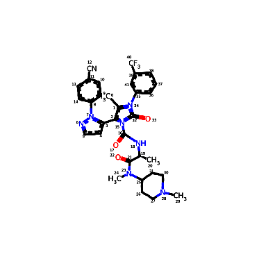 Cc1c(-c2ccnn2-c2ccc(C#N)cc2)n(C(=O)N[C@@H](C)C(=O)N(C)C2CCN(C)CC2)c(=O)n1-c1cccc(C(F)(F)F)c1